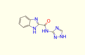 O=C(Nc1nc[nH]n1)c1nc2ccccc2[nH]1